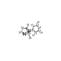 Cc1cc(C)c(C)c(N2[C@@H](C)N3CCC2(C)C3)c1